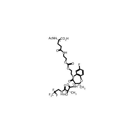 CC(=O)N[C@@H](CCC(=O)NCCOC(=O)OCCN1C(=O)[C@@H](NC(=O)[C@@](C)(O)C(=O)NCC(F)(F)C(F)(F)F)[C@@H](C)Oc2ccc(F)cc21)C(=O)O